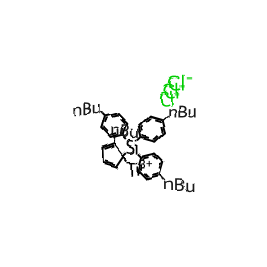 CCCCC1=CC=C[C]1([Ti+3])[Si](c1ccc(CCCC)cc1)(c1ccc(CCCC)cc1)c1ccc(CCCC)cc1.[Cl-].[Cl-].[Cl-]